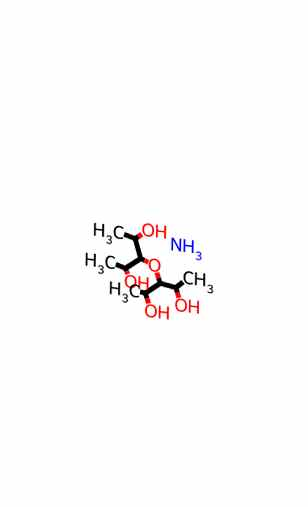 CC(O)C(OC(C(C)O)C(C)O)C(C)O.N